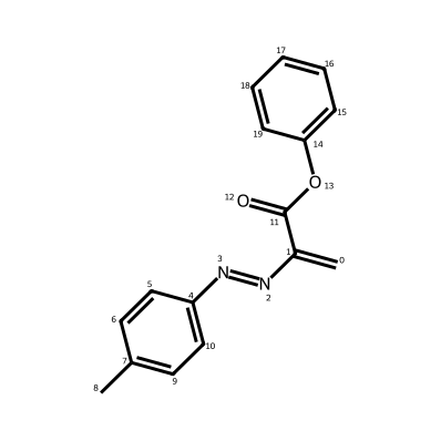 C=C(N=Nc1ccc(C)cc1)C(=O)Oc1ccccc1